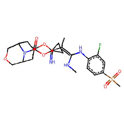 CN/C(Nc1ccc(S(C)(=O)=O)cc1F)=C(/C)C(=N)OC1CC2COCC(C1)N2C(=O)OC1CC1